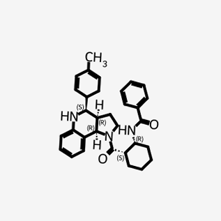 CC1=CCC([C@@H]2Nc3ccccc3[C@H]3[C@@H]2CCN3C(=O)[C@H]2CCCC[C@H]2NC(=O)c2ccccc2)C=C1